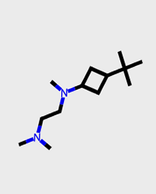 CN(C)CCN(C)C1CC(C(C)(C)C)C1